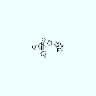 O=C(NC[C@@H]1COCCN1C(=O)c1ccncc1)c1ccc(-c2noc(C(F)(F)F)n2)cc1